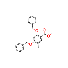 COC(=O)c1cc(C)c(OCc2ccccc2)cc1OCc1ccccc1